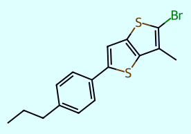 CCCc1ccc(-c2cc3sc(Br)c(C)c3s2)cc1